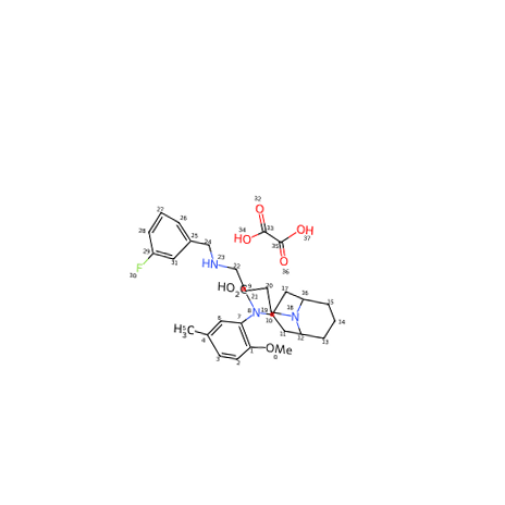 COc1ccc(C)cc1N(C(=O)O)C1CC2CCCC(C1)N2CCCCNCc1cccc(F)c1.O=C(O)C(=O)O